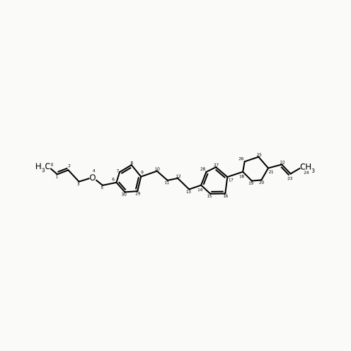 CC=CCOCc1ccc(CCCCc2ccc(C3CCC(C=CC)CC3)cc2)cc1